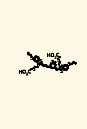 C=CCSc1ccc2c(c1)N(CCSCC(=O)O)/C(=C/C=C/C1=CC(=C/c3sc4ccc(SCC=C)cc4[n+]3CCSCC(=O)O)/CC(C)(C)C1)S2